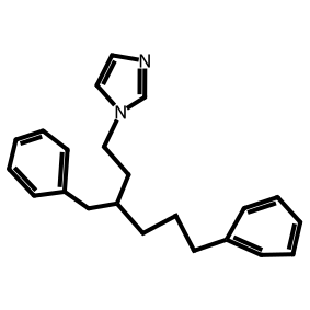 c1ccc(CCCC(CCn2ccnc2)Cc2ccccc2)cc1